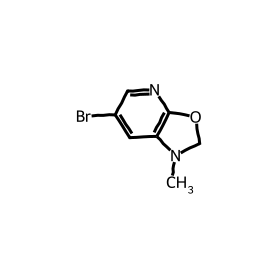 CN1COc2ncc(Br)cc21